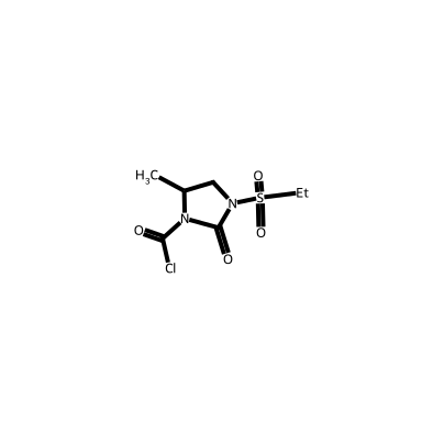 CCS(=O)(=O)N1CC(C)N(C(=O)Cl)C1=O